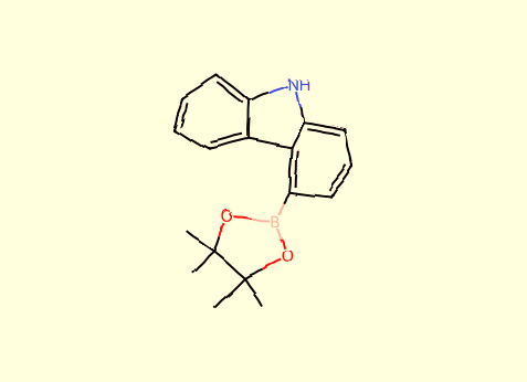 CC1(C)OB(c2cccc3[nH]c4ccccc4c23)OC1(C)C